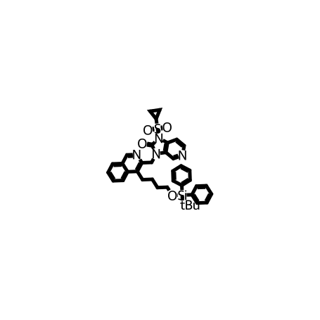 CC(C)(C)[Si](OCCCCc1c(Cn2c(=O)n(S(=O)(=O)C3CC3)c3ccncc32)ncc2ccccc12)(c1ccccc1)c1ccccc1